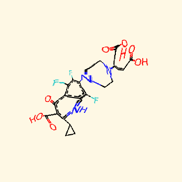 O=C(O)C=C(C(=O)O)N1CCN(c2c(F)c(F)c3c(=O)c(C(=O)O)c(C4CC4)[nH]c3c2F)CC1